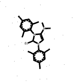 CCC1N(c2c(C)cc(C)cc2C)C=C(N(C)C)N1c1c(C)cc(C)cc1C